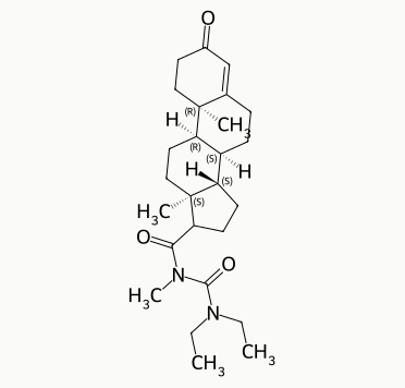 CCN(CC)C(=O)N(C)C(=O)C1CC[C@H]2[C@@H]3CCC4=CC(=O)CC[C@]4(C)[C@@H]3CC[C@]12C